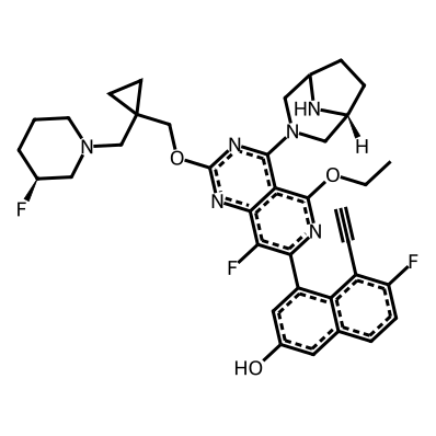 C#Cc1c(F)ccc2cc(O)cc(-c3nc(OCC)c4c(N5CC6CC[C@H](C5)N6)nc(OCC5(CN6CCC[C@H](F)C6)CC5)nc4c3F)c12